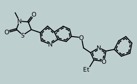 CCc1oc(-c2ccccc2)nc1COc1ccc2cc(C3SC(=O)N(C)C3=O)cnc2c1